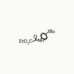 CCOC(=O)CC(=O)Nc1ccc(C(C)(C)C)cc1